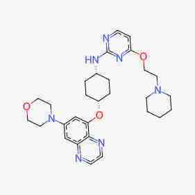 c1cc(OCCN2CCCCC2)nc(N[C@H]2CC[C@@H](Oc3cc(N4CCOCC4)cc4nccnc34)CC2)n1